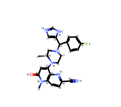 C[C@H]1CN(C(c2ccc(F)cc2)c2cnc[nH]2)CCN1c1cc(=O)n(C)c2ccc(C#N)nc12